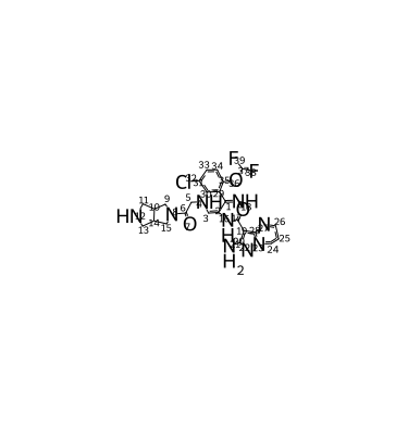 N=C(/C(=C\NCC(=O)N1CC2CNCC2C1)NC(=O)c1c(N)nn2cccnc12)c1cc(Cl)ccc1OC(F)F